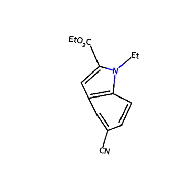 CCOC(=O)c1cc2cc(C#N)ccc2n1CC